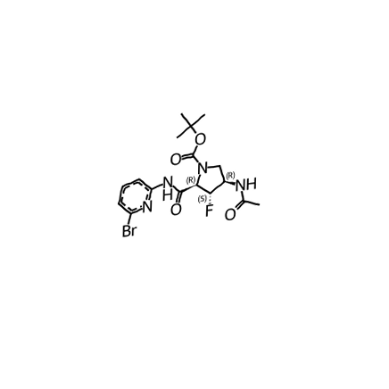 CC(=O)N[C@@H]1CN(C(=O)OC(C)(C)C)[C@H](C(=O)Nc2cccc(Br)n2)[C@H]1F